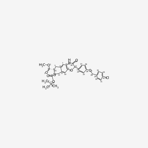 COC(=O)[C@@H]1Cc2cc3c(cc2CN1C(=O)OC(C)(C)C)OC(c1ccc(OCc2ccc(Cl)cc2)cc1)C(=O)N3